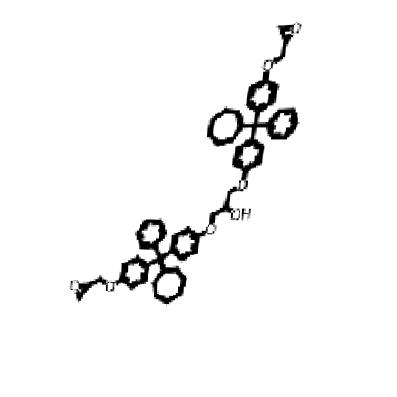 OC(COc1ccc(C(c2ccccc2)(c2ccc(OCC3CO3)cc2)C2CCCCCC2)cc1)COc1ccc(C(c2ccccc2)(c2ccc(OCC3CO3)cc2)C2CCCCCC2)cc1